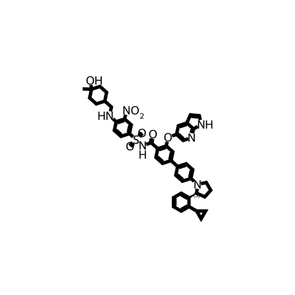 CC1(O)CCC(CNc2ccc(S(=O)(=O)NC(=O)c3ccc(-c4ccc(N5CCC[C@H]5c5ccccc5C5CC5)cc4)cc3Oc3cnc4[nH]ccc4c3)cc2[N+](=O)[O-])CC1